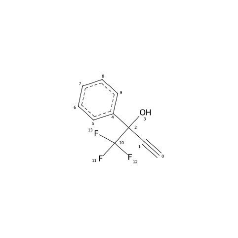 C#CC(O)(c1ccccc1)C(F)(F)F